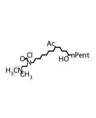 CCCCCC(O)CCCC(CCCCCCCN(CCN(C)C)C(=O)Cl)C(C)=O